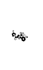 COc1cccc2c1nc(N)n1cc(C(=O)N3CC[C@H](F)C3)nc21